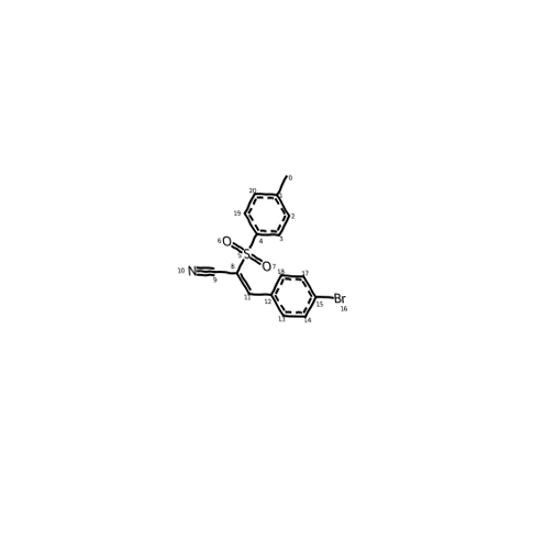 Cc1ccc(S(=O)(=O)/C(C#N)=C\c2ccc(Br)cc2)cc1